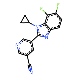 N#Cc1cncc(-c2nc3ccc(F)c(F)c3n2C2CC2)c1